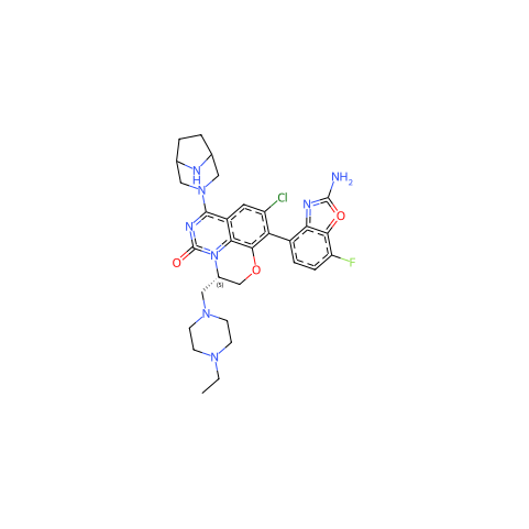 CCN1CCN(C[C@H]2COc3c(-c4ccc(F)c5oc(N)nc45)c(Cl)cc4c(N5CC6CCC(C5)N6)nc(=O)n2c34)CC1